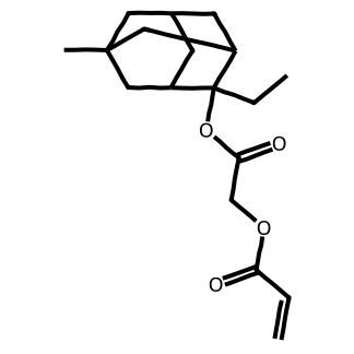 C=CC(=O)OCC(=O)OC1(CC)C2CC3CC1CC(C)(C3)C2